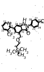 C[Si](C)(C)CCOCc1cc(-c2ncccc2C(F)(F)F)cc2[nH]n(-c3ccc(C(F)(F)F)cc3)c(=O)c12